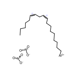 CCCCC/C=C\C/C=C\CCCCCCC[CH2][Al+2].O=[N+]([O-])[O-].O=[N+]([O-])[O-]